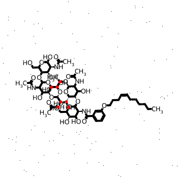 CCCCCC/C=C\CCCOc1cccc(C(=O)N[C@@H]2C(O[C@H]3C(O)C(NC(C)=O)[C@H](OC(C)C(CO)O[C@@H](O[C@H]4C(O)C(NC(C)=O)C(OC5C(CO)OC(O)[C@@H](NC(C)=O)[C@H]5O)O[C@H]4CO)[C@H](CO)NC(C)=O)O[C@H]3CO)OC(CO)[C@@H](O)C2O)c1